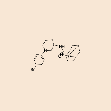 O=C(NC1CCCN(c2ccc(Br)cc2)C1)C12CC3CC(C1)C(O)C(C3)C2